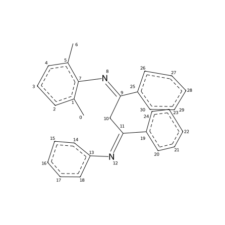 Cc1cccc(C)c1/N=C(\C/C(=N\c1ccccc1)c1ccccc1)c1ccccc1